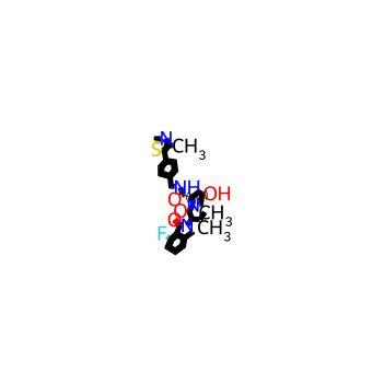 Cc1ncsc1-c1ccc(CNC(=O)[C@@H]2C[C@@H](O)CN2C(=O)C(C(C)C)N2Cc3cccc(F)c3C2=O)cc1